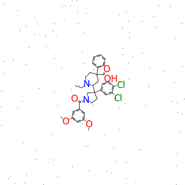 CCN1CCC(C(=O)O)(c2ccccc2)CC1C1(c2ccc(Cl)c(Cl)c2)CCN(C(=O)c2cc(OC)cc(OC)c2)C1